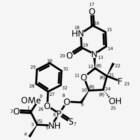 COC(=O)[C@H](C)NP(=S)(OC[C@H]1O[C@@H](n2ccc(=O)[nH]c2=O)[C@](C)(F)[C@@H]1O)Oc1ccccc1